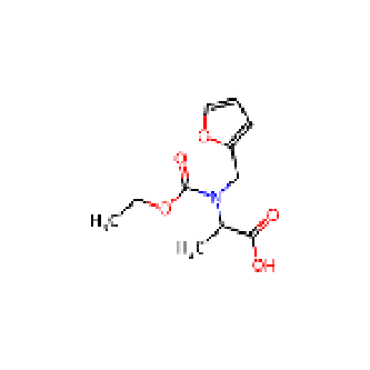 CCOC(=O)N(Cc1ccco1)C(C)C(=O)O